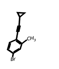 Cc1cc(Br)ccc1C#CC1CC1